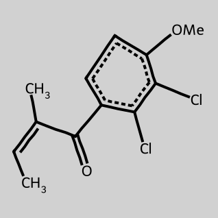 C/C=C(/C)C(=O)c1ccc(OC)c(Cl)c1Cl